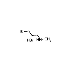 Br.CNCCCBr